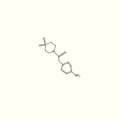 Nc1ccc(CC(=O)N2CCS(=O)(=O)CC2)cc1